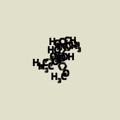 CCC(CC)ON(C[C@@H](O)[C@H](Cc1ccccc1)N(C(=O)O)C(C)(C)C)S(=O)(=O)c1ccc(OC)cc1